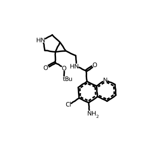 CC(C)(C)OC(=O)C12CNCC1C2CNC(=O)c1cc(Cl)c(N)c2cccnc12